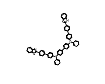 C1=CC(N(c2ccc(-c3ccc(-c4nc5ccccc5s4)cc3)cc2)c2ccc(-c3ccc(N(C4=CCCC=C4)c4ccc(-c5ccc(-c6nc7ccccc7s6)cc5)cc4)cc3)cc2)=CCC1